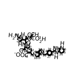 CC(C)(O/N=C(\C(=O)N[C@@H]1C(=O)N2C(C(=O)[O-])=C(C[n+]3ccc4c(cnn4Cc4ccc(C(=N)NC5CCCNC5)cc4)c3)CS[C@H]12)c1csc(N)n1)C(=O)O